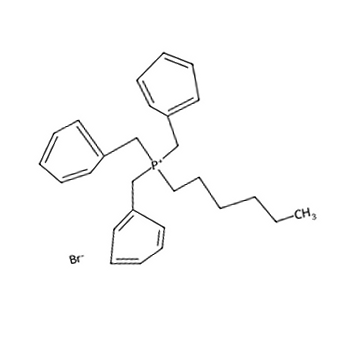 CCCCCC[P+](Cc1ccccc1)(Cc1ccccc1)Cc1ccccc1.[Br-]